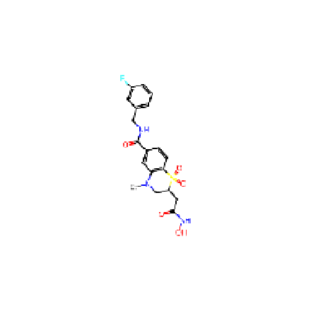 CCN1CC(CC(=O)NO)S(=O)(=O)c2ccc(C(=O)NCc3cccc(F)c3)cc21